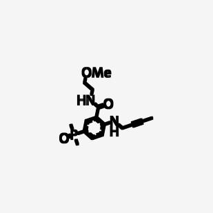 CC#CCNc1ccc(P(C)(C)=O)cc1C(=O)NCCOC